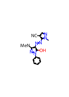 CNc1nn(-c2ccccc2)c(O)c1N=Nc1c(C#N)cnn1C